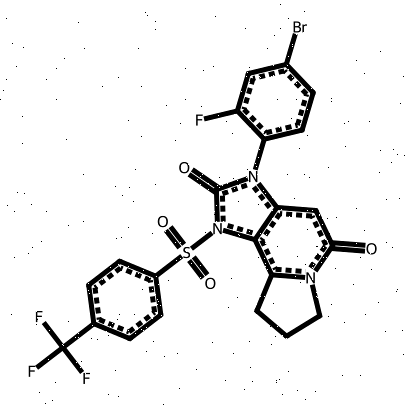 O=c1cc2c(c3n1CCC3)n(S(=O)(=O)c1ccc(C(F)(F)F)cc1)c(=O)n2-c1ccc(Br)cc1F